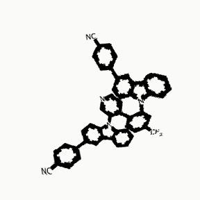 N#Cc1ccc(-c2ccc3c(c2)c2ccccc2n3-c2cnccc2-c2ccc(C(F)(F)F)cc2-n2c3ccccc3c3cc(-c4ccc(C#N)cc4)ccc32)cc1